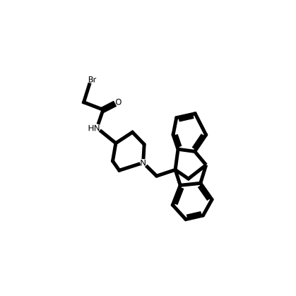 O=C(CBr)NC1CCN(CC23CC(c4ccccc42)c2ccccc23)CC1